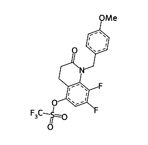 COc1ccc(CN2C(=O)CCc3c(OS(=O)(=O)C(F)(F)F)cc(F)c(F)c32)cc1